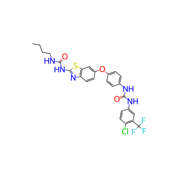 CCCCNC(=O)Nc1nc2ccc(Oc3ccc(NC(=O)Nc4ccc(Cl)c(C(F)(F)F)c4)cc3)cc2s1